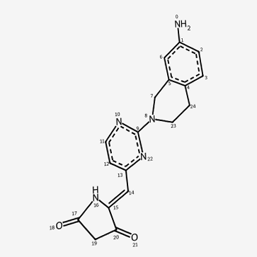 Nc1ccc2c(c1)CN(c1nccc(/C=C3\NC(=O)CC3=O)n1)CC2